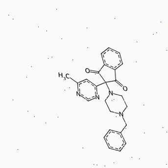 Cc1cc(C2(N3CCN(Cc4ccccc4)CC3)C(=O)c3ccccc3C2=O)ncn1